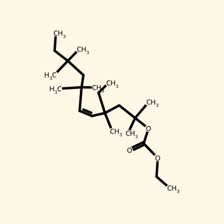 CCOC(=O)OC(C)(C)CC(C)(/C=C\C(C)(C)CC(C)(C)CC)CC